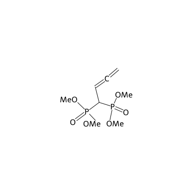 C=C=CC(P(=O)(OC)OC)P(=O)(OC)OC